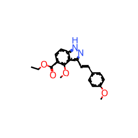 CCOC(=O)c1ccc2[nH]nc(C=Cc3ccc(OC)cc3)c2c1OC